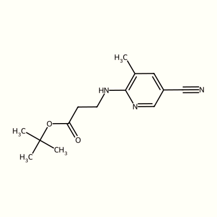 Cc1cc(C#N)cnc1NCCC(=O)OC(C)(C)C